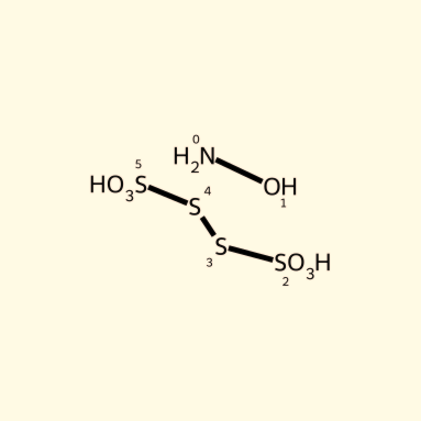 NO.O=S(=O)(O)SSS(=O)(=O)O